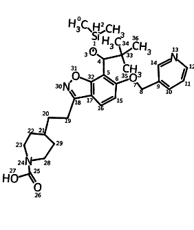 C[SiH](C)OC(c1c(OCc2cccnc2)ccc2c(CCC3CCN(C(=O)O)CC3)noc12)C(C)(C)C